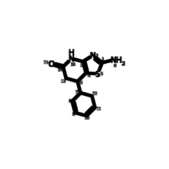 Nc1nc2c(s1)C(C1C=CC=CC1)CC(=O)N2